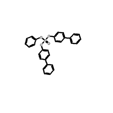 O=P(Oc1ccccc1)(Oc1ccc(-c2ccccc2)cc1)Oc1ccc(-c2ccccc2)cc1